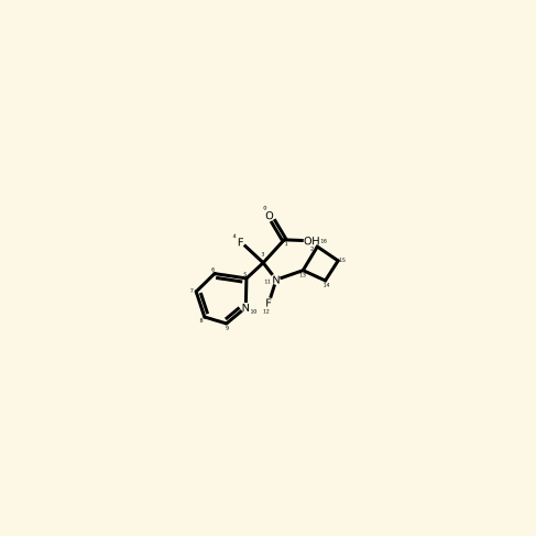 O=C(O)C(F)(c1ccccn1)N(F)C1CCC1